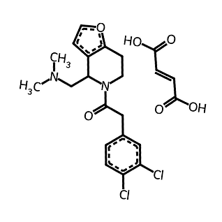 CN(C)CC1c2ccoc2CCN1C(=O)Cc1ccc(Cl)c(Cl)c1.O=C(O)C=CC(=O)O